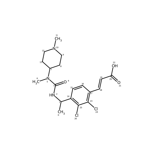 CC(NC(=O)N(C)C1CCN(C)CC1)c1ccc(/C=C/C(=O)O)c(Cl)c1Cl